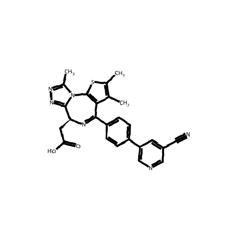 Cc1sc2c(c1C)C(c1ccc(-c3cncc(C#N)c3)cc1)=N[C@@H](CC(=O)O)c1nnc(C)n1-2